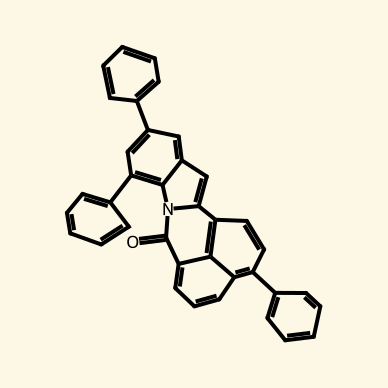 O=c1c2cccc3c(-c4ccccc4)ccc(c32)c2cc3cc(-c4ccccc4)cc(-c4ccccc4)c3n12